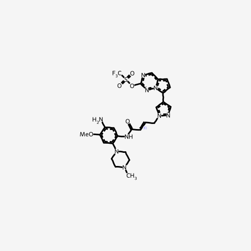 COc1cc(N2CCN(C)CC2)c(NC(=O)/C=C/Cn2cc(-c3ccc4cnc(OS(=O)(=O)C(F)(F)F)nn34)cn2)cc1N